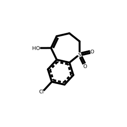 O=S1(=O)CCC=C(O)c2cc(Cl)ccc21